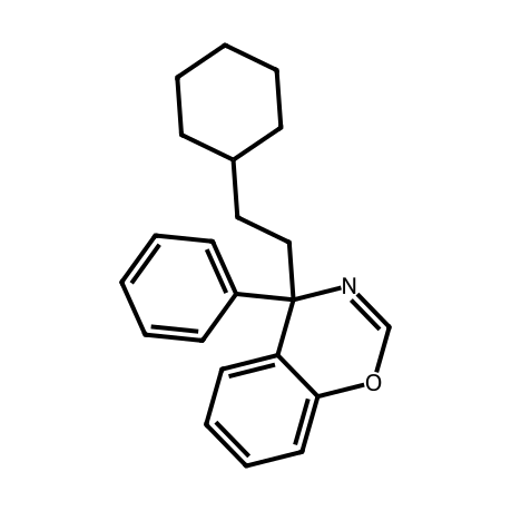 C1=NC(CCC2CCCCC2)(c2ccccc2)c2ccccc2O1